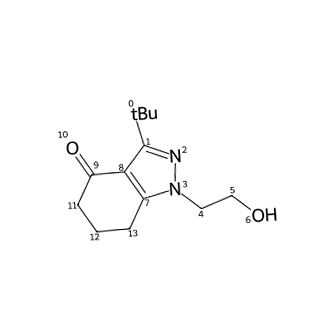 CC(C)(C)c1nn(CCO)c2c1C(=O)CCC2